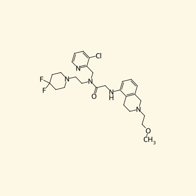 COCCN1CCc2c(cccc2NCC(=O)N(CCN2CCC(F)(F)CC2)Cc2ncccc2Cl)C1